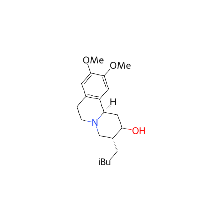 CCC(C)C[C@@H]1CN2CCc3cc(OC)c(OC)cc3[C@H]2CC1O